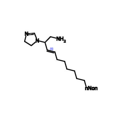 CCCCCCCCCCCCCCC/C=C/C(CN)N1C=NCC1